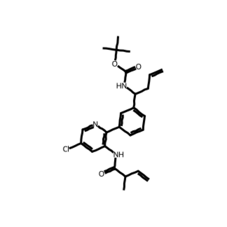 C=CCC(NC(=O)OC(C)(C)C)c1cccc(-c2ncc(Cl)cc2NC(=O)C(C)C=C)c1